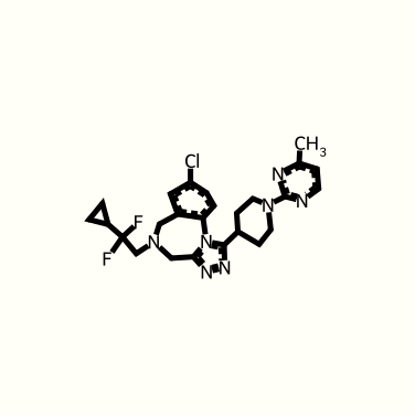 Cc1ccnc(N2CCC(c3nnc4n3-c3ccc(Cl)cc3CN(CC(F)(F)C3CC3)C4)CC2)n1